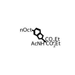 CCCCCCCCc1ccc2c(c1)CC(C(NC(C)=O)(C(=O)OCC)C(=O)OCC)C2